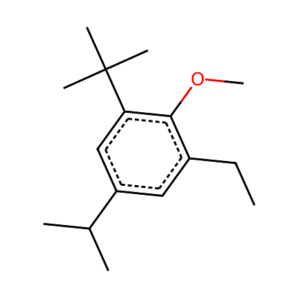 CCc1cc(C(C)C)cc(C(C)(C)C)c1OC